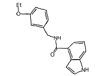 CCOc1cccc(CNC(=O)c2cccc3[nH]ccc23)c1